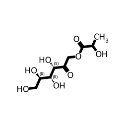 CC(O)C(=O)OCC(=O)[C@@H](O)[C@H](O)[C@H](O)CO